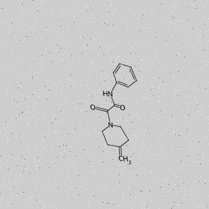 C=C1CCN(C(=O)C(=O)Nc2ccccc2)CC1